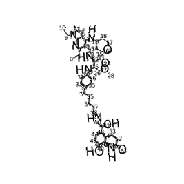 CCc1nc2c(cnn2CC)c(NC2CCOCC2)c1CN/C(C=O)=C(/COC)Nc1ccc(CCCCCNC[C@H](O)c2ccc(O)c3[nH]c(=O)ccc23)cc1